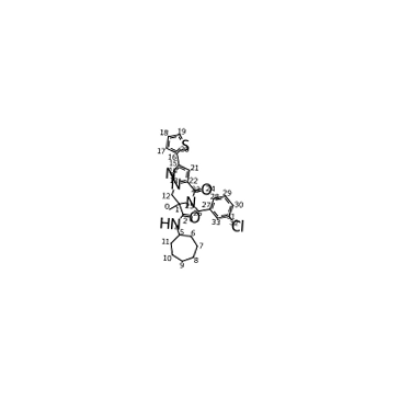 CC1(C(=O)NC2CCCCCC2)Cn2nc(-c3cccs3)cc2C(=O)N1Cc1cccc(Cl)c1